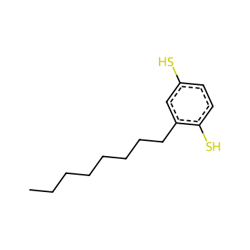 CCCCCCCCc1cc(S)ccc1S